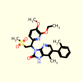 CCOc1nc(C(CS(C)(=O)=O)n2c(=O)[nH]c3c(C)c(-c4ccccc4C)cnc32)ccc1OC